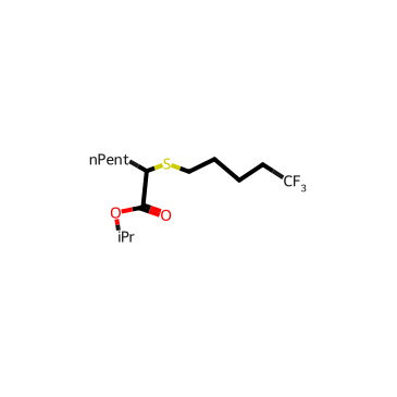 CCCCCC(SCCCCC(F)(F)F)C(=O)OC(C)C